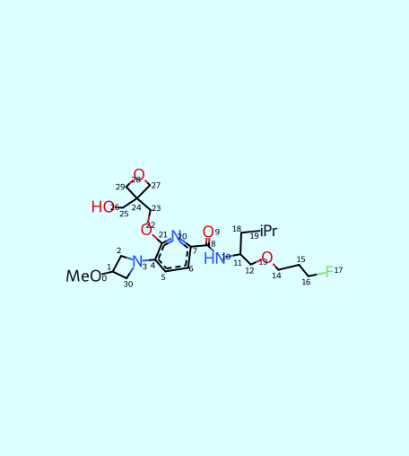 COC1CN(c2ccc(C(=O)NC(COCCCF)CC(C)C)nc2OCC2(CO)COC2)C1